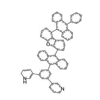 C1=CC(c2cc(-c3cccnc3)cc(-c3c4ccccc4c(-c4cccc5c4oc4cccc(-c6c7ccccc7c(-c7ccccc7)c7ccccc67)c45)c4ccccc34)c2)=CNC1